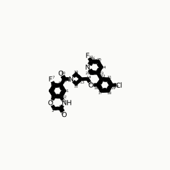 O=C1COc2cc(F)c(C(=O)N3CC(COc4ccc(Cl)cc4-c4ccc(F)nc4)C3)cc2N1